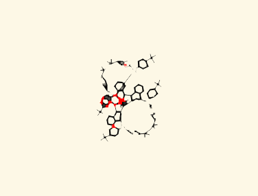 CC(C)(C)c1ccc(N2c3ccc(cc3)C(C)(C)CC(C)(C)c3ccc(cc3)N(c3ccc(C(C)(C)C)cc3)c3cc4c(c5ccccc35)-c3c5cc(c6ccccc36)N(c3ccc(C(C)(C)C)cc3)c3ccc(cc3)C(C)(C)CC(C)(C)c3ccc(cc3)N(c3ccc(C(C)(C)C)cc3)c3cc6c(c7ccccc37)-c3c(cc2c2ccccc32)C6(C(C)(C)C)C45C(C)(C)C)cc1